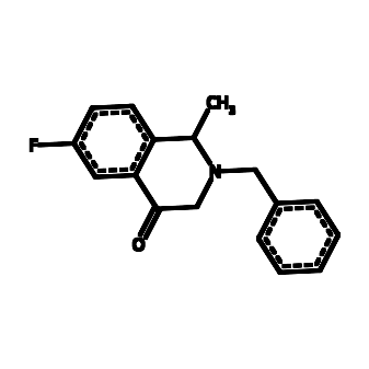 CC1c2ccc(F)cc2C(=O)CN1Cc1ccccc1